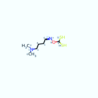 CN(C)CCC/C=N\OC(S)S